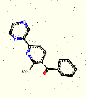 COc1nc(-c2cnccn2)ccc1C(=O)c1ccccc1